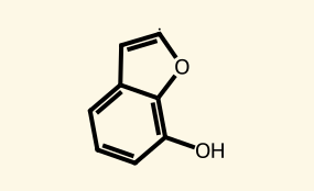 Oc1cccc2c[c]oc12